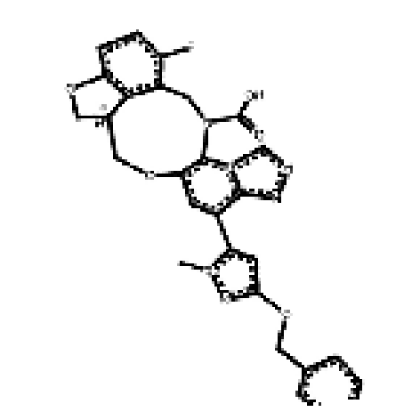 Cn1nc(OCc2ccccc2)cc1-c1cc2c(n3cnnc13)N(C(=O)O)Cc1c(F)ccc3c1[C@@H](CO3)CO2